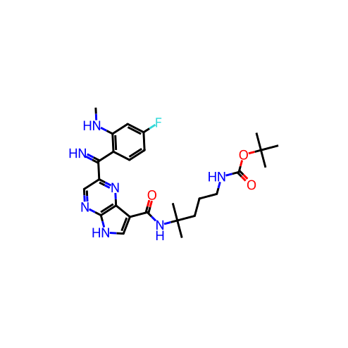 CNc1cc(F)ccc1C(=N)c1cnc2[nH]cc(C(=O)NC(C)(C)CCCNC(=O)OC(C)(C)C)c2n1